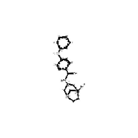 O=C(N[C@@H]1C[C@@H]2CCN(C2)C1)c1ccc(Oc2ccccc2)cc1